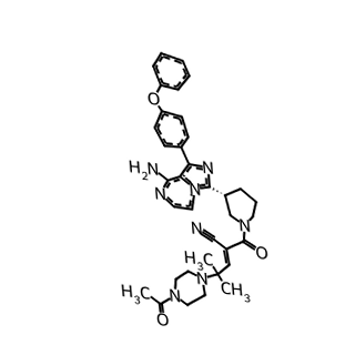 CC(=O)N1CCN(C(C)(C)C=C(C#N)C(=O)N2CCC[C@@H](c3nc(-c4ccc(Oc5ccccc5)cc4)c4c(N)nccn34)C2)CC1